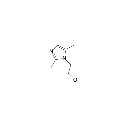 Cc1cnc(C)n1CC=O